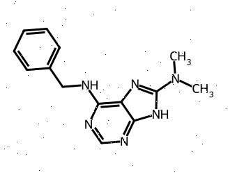 CN(C)c1nc2c(NCc3ccccc3)ncnc2[nH]1